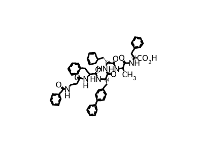 CC(NC(=O)[C@@H](CC1C=CC=CC1)NC(=O)[C@H](Cc1ccc(-c2ccccc2)cc1)NC(=O)C(Cc1ccccc1)NC(=O)CCNC(=O)c1ccccc1)C(=O)N[C@@H](Cc1ccccc1)C(=O)O